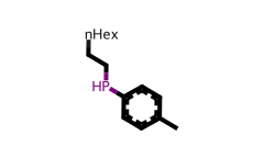 CCCCCCCCPc1ccc(C)cc1